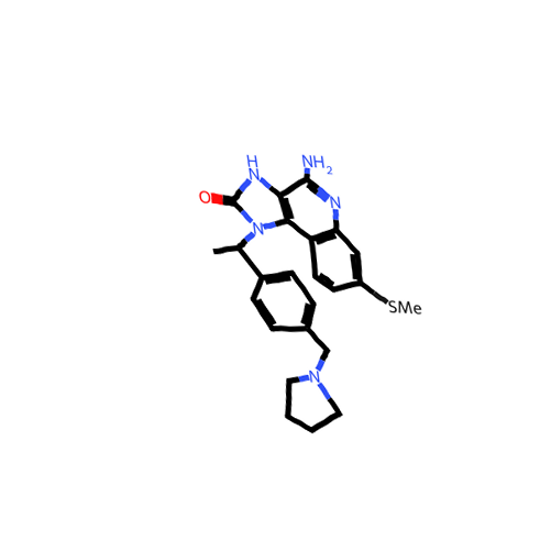 CSc1ccc2c(c1)nc(N)c1[nH]c(=O)n(C(C)c3ccc(CN4CCCC4)cc3)c12